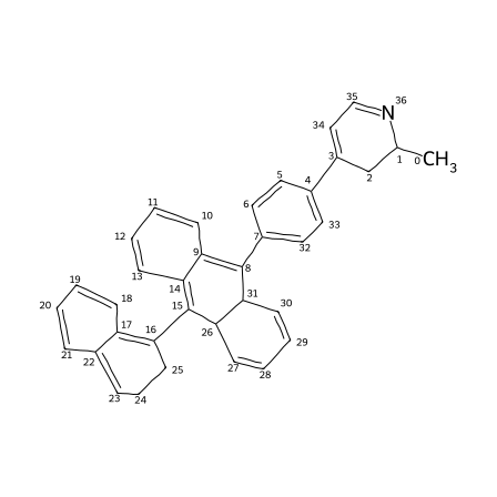 CC1CC(c2ccc(C3=c4ccccc4=C(C4=c5ccccc5=CCC4)C4C=CC=CC34)cc2)=CC=N1